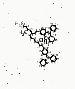 C=C(\C=C\C=C/C(/C=C/c1ccc(N(C2=CCCC=C2)c2ccccc2)c(C)c1)=C\C(C)=C\CC)CCc1ccc(N(C2=CCCC=C2)c2ccccc2)cc1